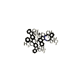 CC1/C=C2\C(=C/CC(C)(C)c3ccccc31)c1c(cc(N3c4cc5c(cc4C(C)(c4ccccc4)c4cc6c(cc43)C(C)(C)c3ccccc3-6)-c3ccccc3C5(C)C)c3ccccc13)C2(C)C